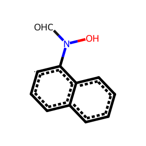 O=CN(O)c1[c]ccc2ccccc12